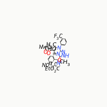 CCOC(=O)C[N+](C)(C)Cc1cc(C#N)ccc1[C@@H]1C(C(=O)OC)=C(C)N(c2cccc(C(F)(F)F)c2)c2n[nH]c(=O)n21.O=C[O-]